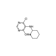 COc1ncnc(Cl)c1NC1CCCCC1